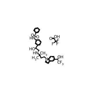 CC(C)(CCn1ccc2cc([C@@H](O)C(F)(F)F)ccc21)NCC(O)c1cccc(NS(=O)(=O)c2ccccc2)c1.O=C(O)C(F)(F)F